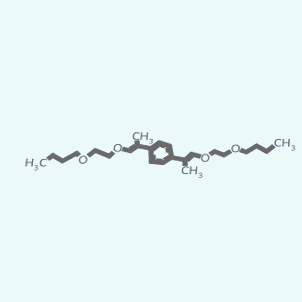 CCCCOCCOC=C(C)c1ccc(C(C)=COCCOCCCC)cc1